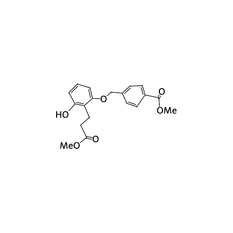 COC(=O)CCc1c(O)cccc1OCc1ccc(C(=O)OC)cc1